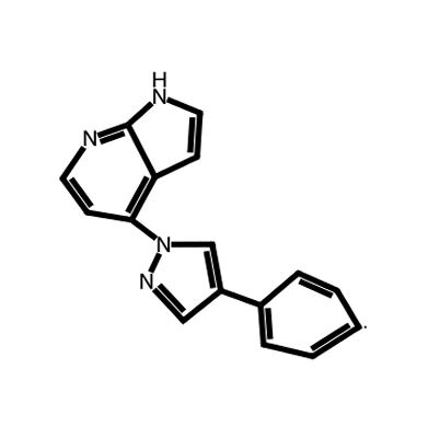 [c]1ccc(-c2cnn(-c3ccnc4[nH]ccc34)c2)cc1